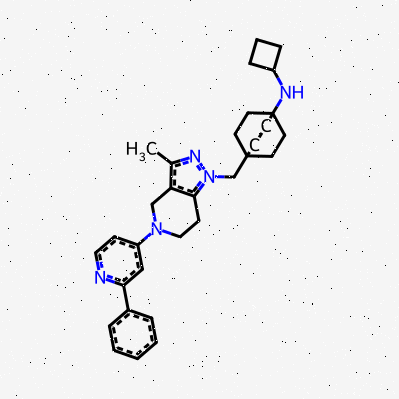 Cc1nn(CC23CCC(NC4CCC4)(CC2)CC3)c2c1CN(c1ccnc(-c3ccccc3)c1)CC2